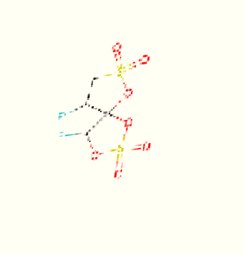 O=S1(=O)CC(F)C2(O1)OS(=O)(=O)OC2F